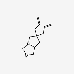 C=CCC1(CC=C)CC2COSN2C1